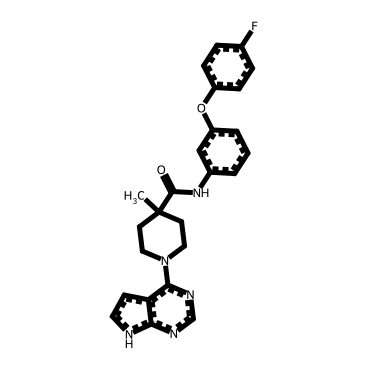 CC1(C(=O)Nc2cccc(Oc3ccc(F)cc3)c2)CCN(c2ncnc3[nH]ccc23)CC1